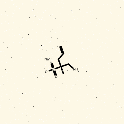 C=CCC(C)(CN)S(=O)(=O)[O-].[Na+]